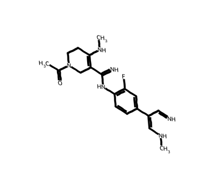 CN/C=C(\C=N)c1ccc(NC(=N)C2=C(NC)CCN(C(C)=O)C2)c(F)c1